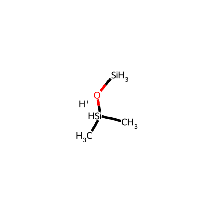 C[SiH](C)O[SiH3].[H+]